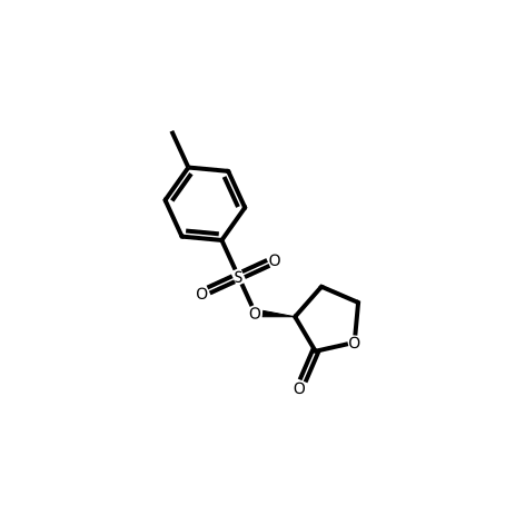 Cc1ccc(S(=O)(=O)O[C@H]2CCOC2=O)cc1